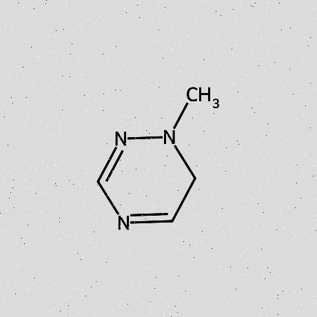 CN1CC=NC=N1